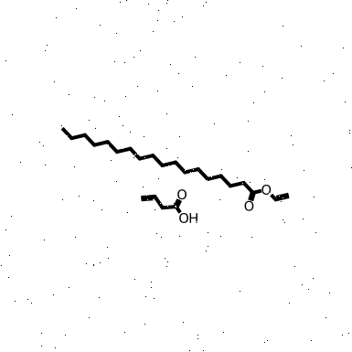 C=CCC(=O)O.C=COC(=O)CCCCCCCCCCCCCCCCC